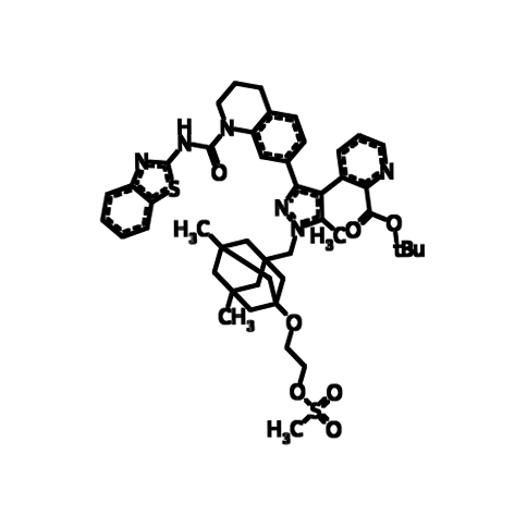 Cc1c(-c2cccnc2C(=O)OC(C)(C)C)c(-c2ccc3c(c2)N(C(=O)Nc2nc4ccccc4s2)CCC3)nn1CC12CC3(C)CC(C)(C1)CC(OCCOS(C)(=O)=O)(C3)C2